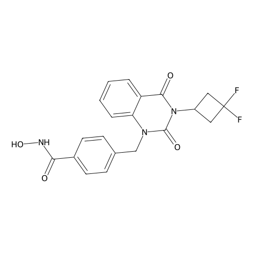 O=C(NO)c1ccc(Cn2c(=O)n(C3CC(F)(F)C3)c(=O)c3ccccc32)cc1